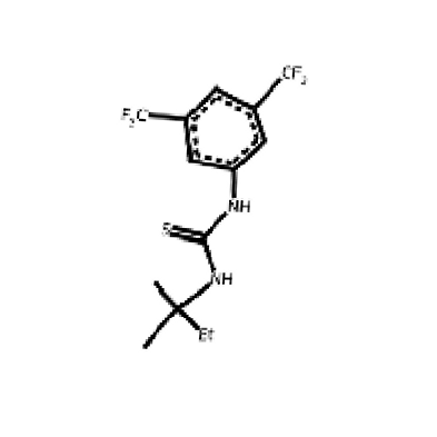 CCC(C)(C)NC(=S)Nc1cc(C(F)(F)F)cc(C(F)(F)F)c1